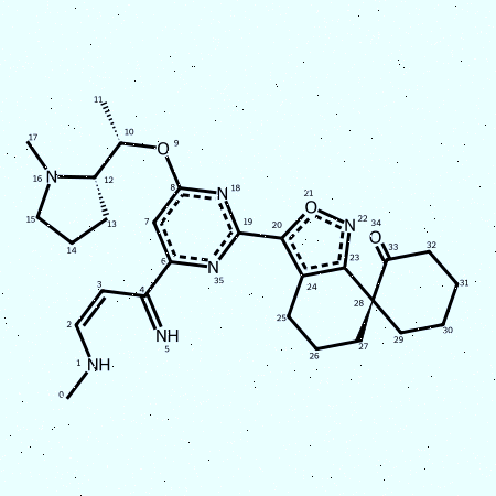 CN/C=C\C(=N)c1cc(O[C@@H](C)[C@@H]2CCCN2C)nc(-c2onc3c2CCC[C@@]32CCCCC2=O)n1